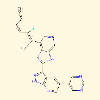 C=C/C=C\C(F)=C(/C)c1cncc2[nH]c(-c3n[nH]c4ncc(-c5cncnc5)cc34)nc12